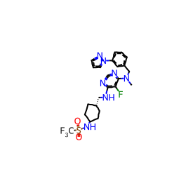 CN(Cc1cccc(-n2cccn2)c1)c1ncnc(NC[C@H]2CC[C@H](NS(=O)(=O)C(F)(F)F)CC2)c1F